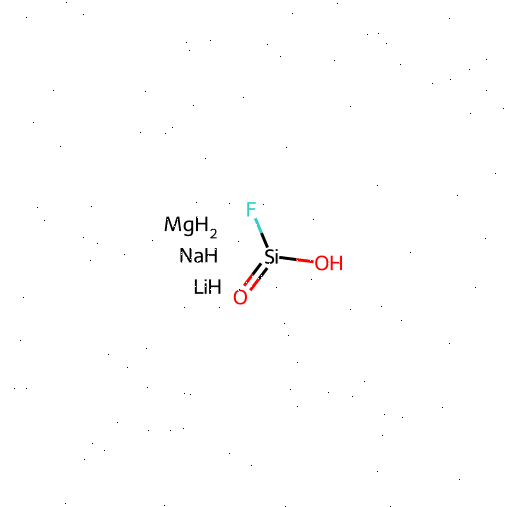 O=[Si](O)F.[LiH].[MgH2].[NaH]